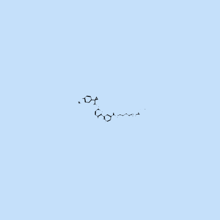 Cc1ccc(NC(=O)C2(c3ccc4c(c3)OC(F)(F)O4)CC2)nc1-c1cccc(C(=O)NCCCCCNC(=O)OC(C)(C)C)c1